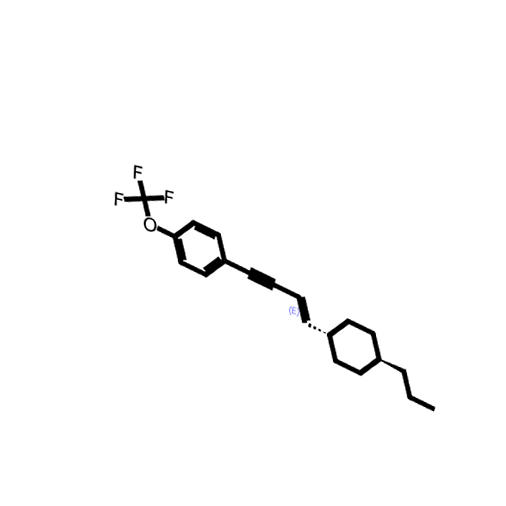 CCC[C@H]1CC[C@H](/C=C/C#Cc2ccc(OC(F)(F)F)cc2)CC1